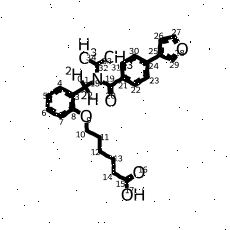 [2H]C([2H])(c1ccccc1OCCCCCC(=O)O)N(C(=O)c1ccc(-c2ccoc2)cc1)C(C)C